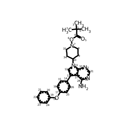 CC(C)(C)C(=O)ON1CCC(n2cc(-c3ccc(Oc4ccccc4)cc3)c3c(N)ncnc32)CC1